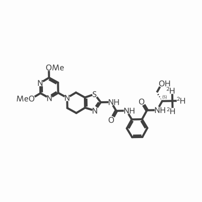 [2H]C([2H])([2H])[C@@H](CO)NC(=O)c1ccccc1NC(=O)Nc1nc2c(s1)CN(c1cc(OC)nc(OC)n1)CC2